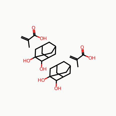 C=C(C)C(=O)O.C=C(C)C(=O)O.OC1C2CC3CC(C2)CC1(O)C3.OC1C2CC3CC(C2)CC1(O)C3